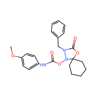 COc1ccc(NC(=O)ON2N(Cc3ccccc3)C(=O)OC23CCCCC3)cc1